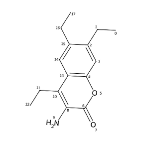 CCc1cc2oc(=O)c(N)c(CC)c2cc1CC